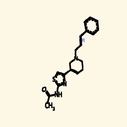 CC(=O)Nc1nc(C2=CCCN(C/C=C/c3ccccc3)C2)cs1